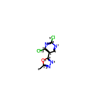 Cc1nnc(-c2cnc(Cl)nc2Cl)o1